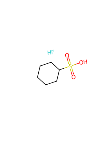 F.O=S(=O)(O)C1CCCCC1